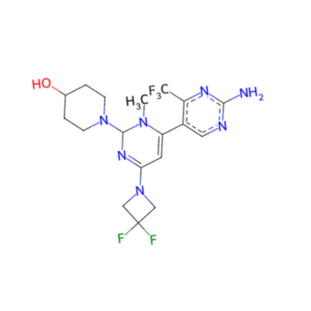 CN1C(c2cnc(N)nc2C(F)(F)F)=CC(N2CC(F)(F)C2)=NC1N1CCC(O)CC1